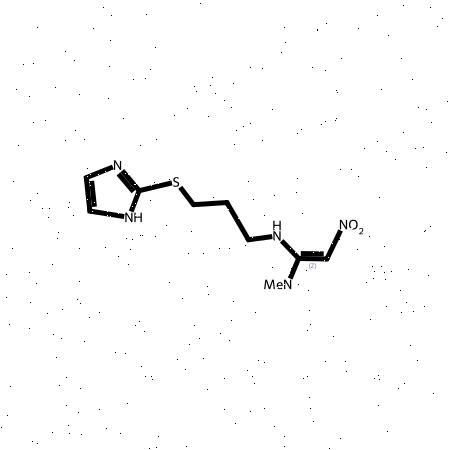 CN/C(=C/[N+](=O)[O-])NCCCSc1ncc[nH]1